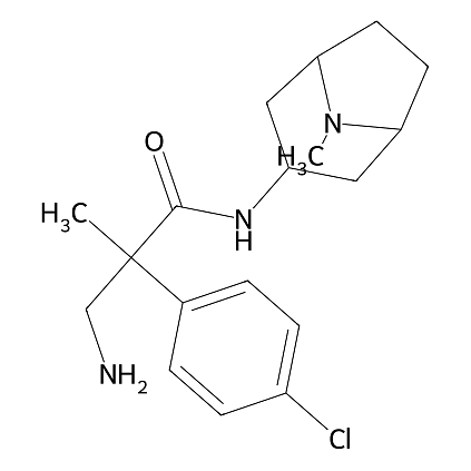 CN1C2CCC1CC(NC(=O)C(C)(CN)c1ccc(Cl)cc1)C2